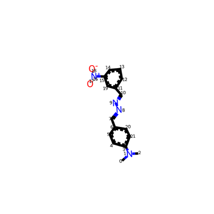 CN(C)c1ccc(/C=N/N=C/c2cccc([N+](=O)[O-])c2)cc1